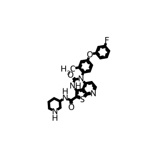 Cc1cc(Oc2cccc(F)c2)ccc1N1C(=O)Nc2c(C(=O)NC3CCCNC3)sc3nccc1c23